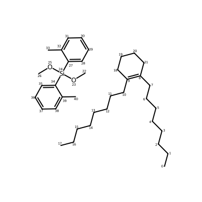 CCCCCCCCC1=C(CCCCCCCC)CCCC1.CO[Si](OC)(c1ccccc1C)c1ccccc1C